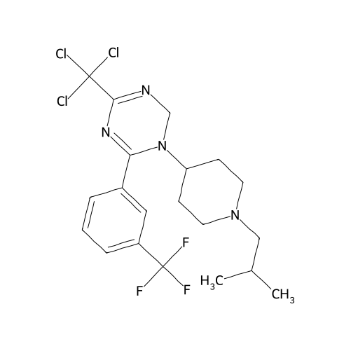 CC(C)CN1CCC(N2CN=C(C(Cl)(Cl)Cl)N=C2c2cccc(C(F)(F)F)c2)CC1